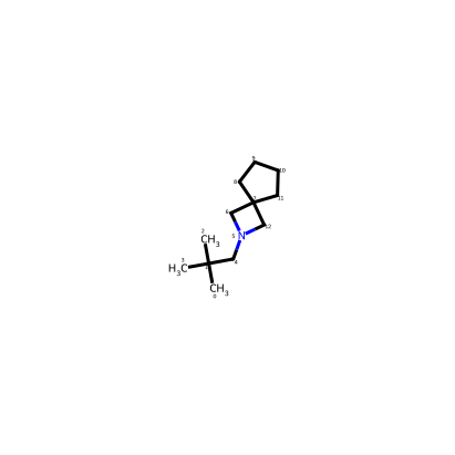 CC(C)(C)CN1CC2(CCCC2)C1